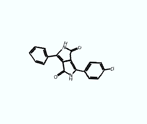 O=C1NC(c2ccc(Cl)cc2)=C2C(=O)NC(c3ccccc3)=C12